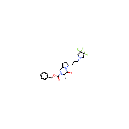 C[C@H]1C(=O)N2C(=CC[C@@H]2CCCN2CC(F)(F)C(F)(F)C2)CN1C(=O)OCc1ccccc1